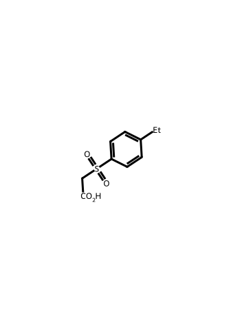 CCc1ccc(S(=O)(=O)CC(=O)O)cc1